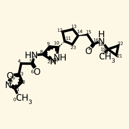 Cc1cc(CC(=O)Nc2cc([C@@H]3CC[C@@H](CC(=O)NC4(C)CC4)C3)[nH]n2)on1